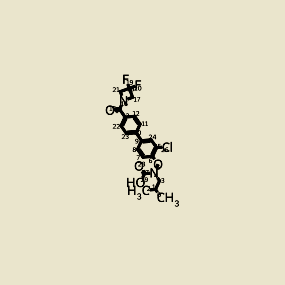 CC(C)CN(Oc1ccc(-c2ccc(C(=O)N3CC(F)(F)C3)cc2)cc1Cl)C(=O)O